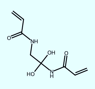 C=CC(=O)NCC(O)(O)NC(=O)C=C